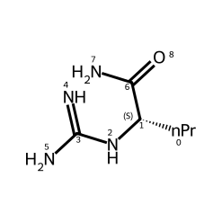 CCC[C@H](NC(=N)N)C(N)=O